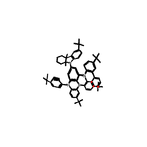 CC(C)(C)c1ccc(N2c3ccc(C(C)(C)C)cc3B3c4ccc([Si](C)(C)C)cc4N(c4ccc(C(C)(C)C)cc4-c4ccccc4)c4cc(N5c6ccc(C(C)(C)C)cc6C6(C)CCCCC56C)cc2c43)cc1